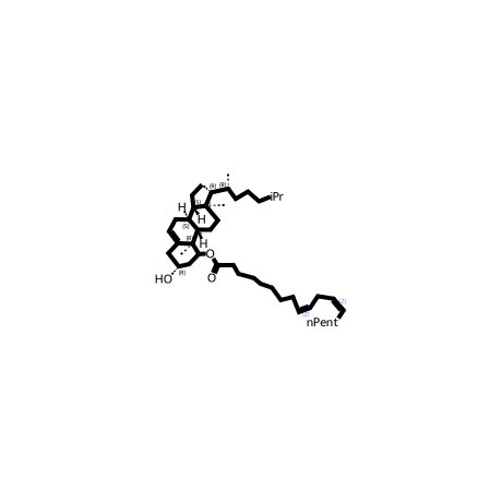 CCCCC/C=C\C/C=C\CCCCCCCC(=O)OC1C[C@H](O)CC2=CC[C@H]3[C@@H]4CC[C@H]([C@H](C)CCCC(C)C)[C@@]4(C)CC[C@@H]3[C@]21C